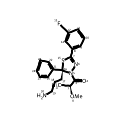 CO[C@@H](C)C(=O)N1N=C(c2cccc(F)c2)S[C@@]1(CCCN)c1ccccc1